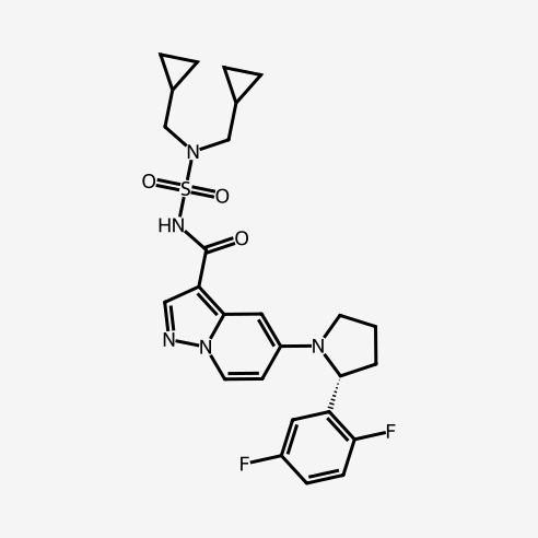 O=C(NS(=O)(=O)N(CC1CC1)CC1CC1)c1cnn2ccc(N3CCC[C@@H]3c3cc(F)ccc3F)cc12